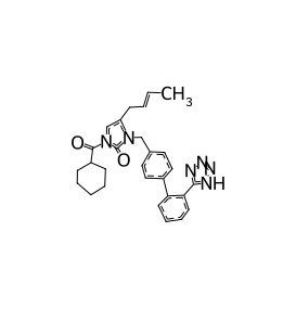 CC=CCc1cn(C(=O)C2CCCCC2)c(=O)n1Cc1ccc(-c2ccccc2-c2nnn[nH]2)cc1